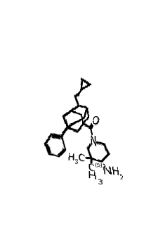 CC1(C)CN(C(=O)C23CC4CC(c5ccccc5)(CC(C2)C4CC2CC2)C3)CC[C@@H]1N